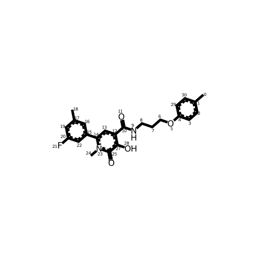 Cc1ccc(OCCCNC(=O)c2cc(-c3cc(C)cc(F)c3)n(C)c(=O)c2O)cc1